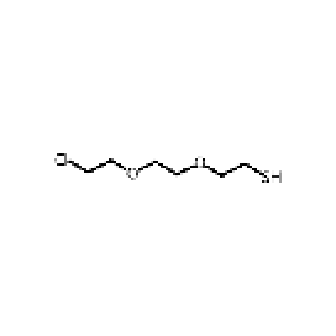 SCCOCCOCCCl